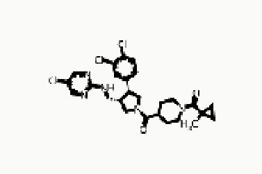 CC1(C(=O)N2CCC(C(=O)N3C[C@H](CNc4ncc(Cl)cn4)[C@@H](c4ccc(Cl)c(Cl)c4)C3)CC2)CC1